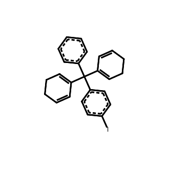 Ic1ccc(C(C2=CCCC=C2)(C2=CCCC=C2)c2ccccc2)cc1